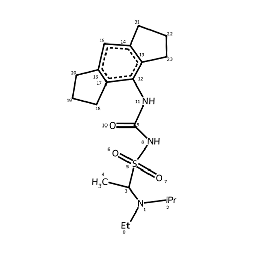 CCN(C(C)C)C(C)S(=O)(=O)NC(=O)Nc1c2c(cc3c1CCC3)CCC2